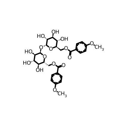 COc1ccc(C(=O)OC[C@H]2O[C@H](O[C@H]3O[C@H](COC(=O)c4ccc(OC)cc4)[C@@H](O)[C@H](O)[C@H]3O)[C@H](O)[C@@H](O)[C@@H]2O)cc1